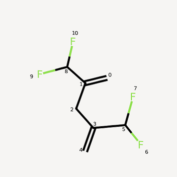 C=C(CC(=C)C(F)F)C(F)F